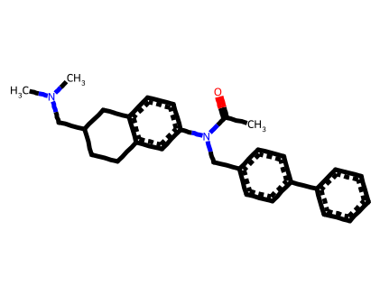 CC(=O)N(Cc1ccc(-c2ccccc2)cc1)c1ccc2c(c1)CCC(CN(C)C)C2